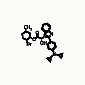 CC(C)C1CC[C@@H](C)C[C@H]1OC(=O)[C@@H](O)n1c(-c2ccc(N(C3CC3)C3CC3)cc2)nc2ccccc21